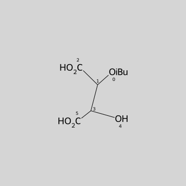 CC(C)COC(C(=O)O)C(O)C(=O)O